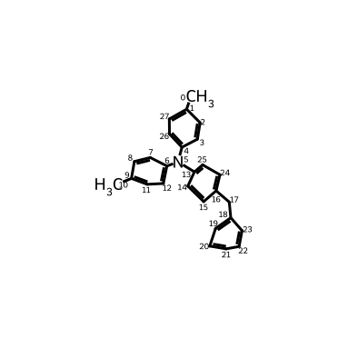 Cc1ccc(N(c2ccc(C)cc2)c2ccc(Cc3ccccc3)cc2)cc1